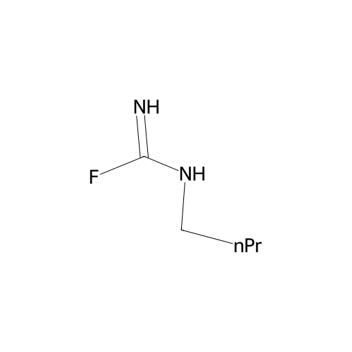 CCCCNC(=N)F